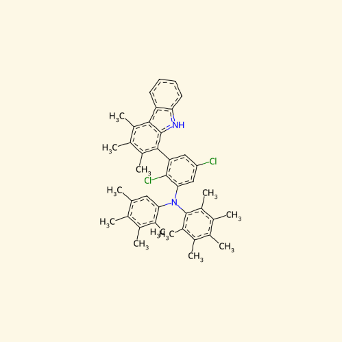 Cc1cc(N(c2cc(Cl)cc(-c3c(C)c(C)c(C)c4c3[nH]c3ccccc34)c2Cl)c2c(C)c(C)c(C)c(C)c2C)c(C)c(C)c1C